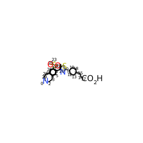 CN1CCc2cc(-c3csc([C@H]4CC[C@H](CCC(=O)O)CC4)n3)c(S(C)(=O)=O)cc2CC1